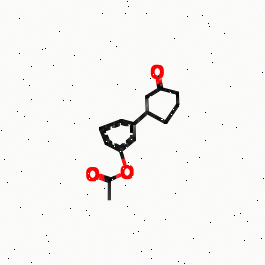 CC(=O)Oc1cccc(C2CCCC(=O)C2)c1